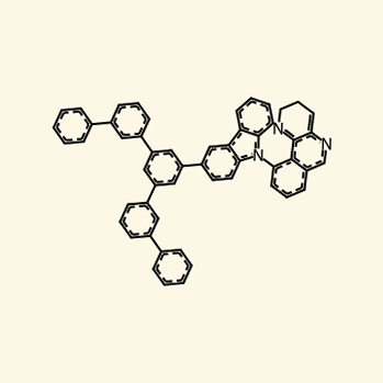 C1=c2ncc3cccc(-n4c5ccccc5c5cc(-c6cc(-c7cccc(-c8ccccc8)c7)cc(-c7cccc(-c8ccccc8)c7)c6)ccc54)c3c2=NCC1